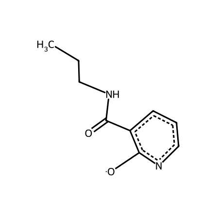 CCCNC(=O)c1cccnc1[O]